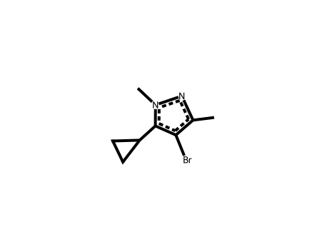 Cc1nn(C)c(C2CC2)c1Br